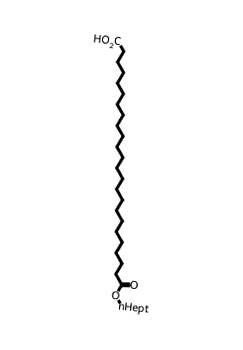 CCCCCCCOC(=O)CCCCCCCCCCCCCCCCCCCCCCC(=O)O